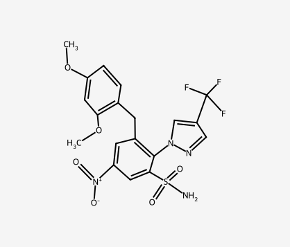 COc1ccc(Cc2cc([N+](=O)[O-])cc(S(N)(=O)=O)c2-n2cc(C(F)(F)F)cn2)c(OC)c1